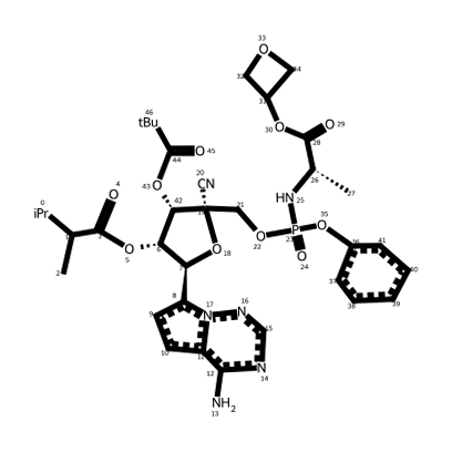 CC(C)C(C)C(=O)O[C@H]1[C@H](c2ccc3c(N)ncnn23)O[C@](C#N)(COP(=O)(N[C@@H](C)C(=O)OC2COC2)Oc2ccccc2)[C@H]1OC(=O)C(C)(C)C